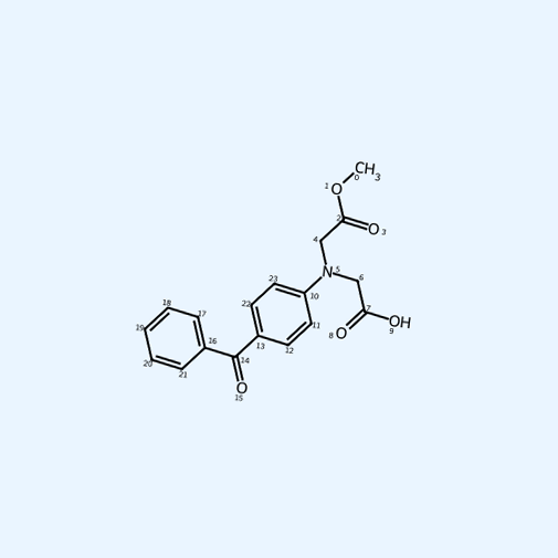 COC(=O)CN(CC(=O)O)c1ccc(C(=O)c2ccccc2)cc1